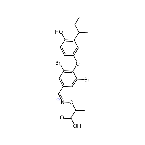 CCC(C)c1cc(Oc2c(Br)cc(/C=N\OC(C)C(=O)O)cc2Br)ccc1O